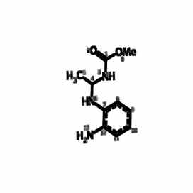 COC(=O)NC(C)Nc1ccccc1N